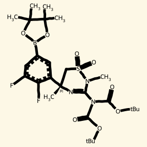 CN1C(N(C(=O)OC(C)(C)C)C(=O)OC(C)(C)C)=N[C@](C)(c2cc(B3OC(C)(C)C(C)(C)O3)cc(F)c2F)CS1(=O)=O